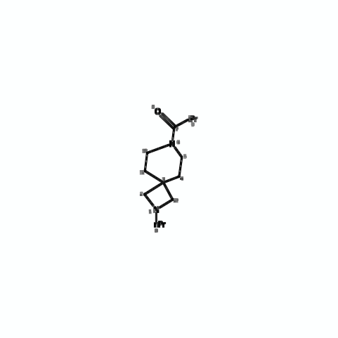 CCCN1CC2(CCN(C(=O)C(C)C)CC2)C1